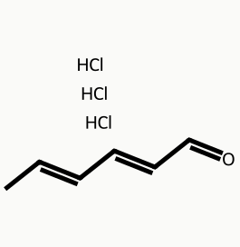 CC=CC=CC=O.Cl.Cl.Cl